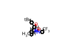 CC(C)(C)c1ccc(C2C[C@@]3(C)C(=CC2=O)N(C(=O)Nc2cccc(C(F)(F)F)c2)C[C@H]2[C@@H]4CCC[C@@]4(C)CC[C@@H]23)cc1